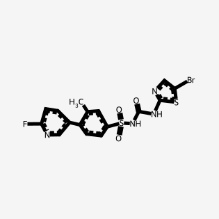 Cc1cc(S(=O)(=O)NC(=O)Nc2ncc(Br)s2)ccc1-c1ccc(F)nc1